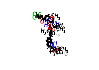 COCC(NC(=O)C(OC(=O)C(C)(C)/C=C/c1ccc2ccc([C@@H](C)NC(=O)OC(C)(C)C)nc2c1)C(C)C)C(=O)N1CCCC(C(=O)OCC(Cl)(Cl)Cl)N1